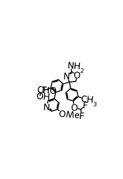 COc1cncc(-c2cc(C3(c4ccc(OC(F)F)c(C)c4)COC(N)=N3)ccc2F)c1.O=CO